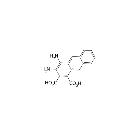 Nc1c(C(=O)O)c(C(=O)O)c2cc3ccccc3cc2c1N